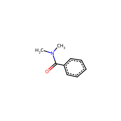 [CH2]N(C)C(=O)c1ccccc1